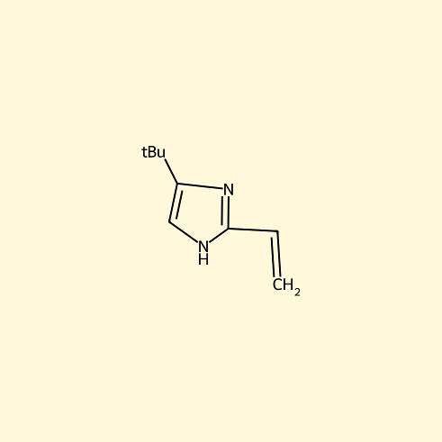 C=Cc1nc(C(C)(C)C)c[nH]1